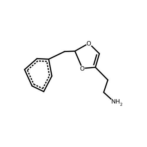 NCCC1=COC(Cc2ccccc2)O1